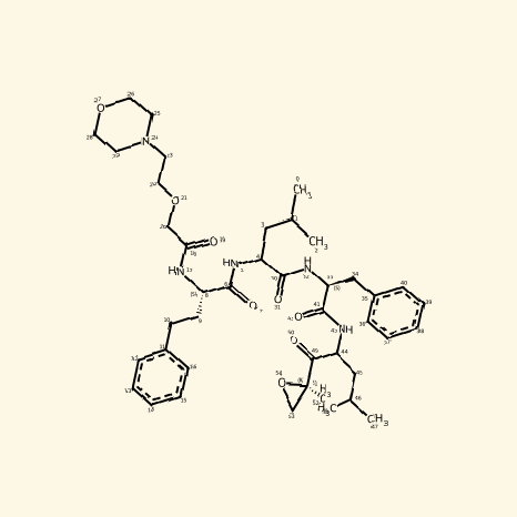 CC(C)CC(NC(=O)[C@H](CCc1ccccc1)NC(=O)COCCN1CCOCC1)C(=O)N[C@@H](Cc1ccccc1)C(=O)NC(CC(C)C)C(=O)[C@@]1(C)CO1